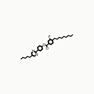 CCCCCCCCCc1ccc(C(=O)Oc2ccc(-c3ncc(CCCCC)cn3)cc2)cc1F